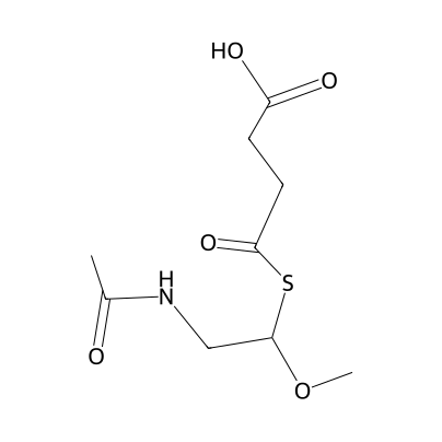 COC(CNC(C)=O)SC(=O)CCC(=O)O